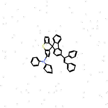 C(=C(/c1ccccc1)c1ccc2c(c1)-c1ccccc1C21c2ccccc2Sc2cc(N(c3ccccc3)c3ccccc3)ccc21)/c1ccccc1